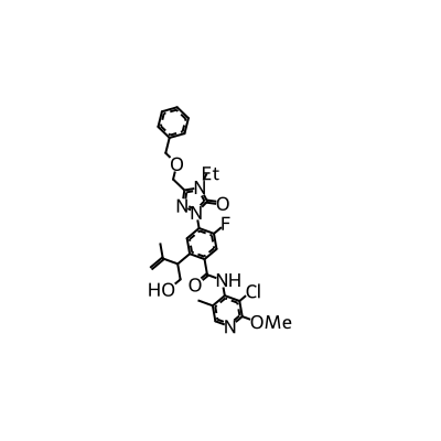 C=C(C)C(CO)c1cc(-n2nc(COCc3ccccc3)n(CC)c2=O)c(F)cc1C(=O)Nc1c(C)cnc(OC)c1Cl